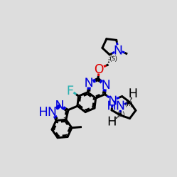 Cc1cccc2[nH]nc(-c3ccc4c(N5C[C@H]6CC[C@@H](C5)N6)nc(OC[C@@H]5CCCN5C)nc4c3F)c12